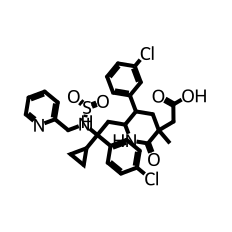 CC1(CC(=O)O)CC(c2cccc(Cl)c2)C(CC(c2ccc(Cl)cc2)(C2CC2)N(Cc2ccccn2)[SH](=O)=O)NC1=O